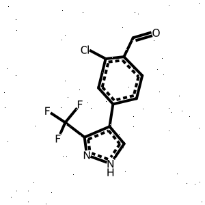 O=Cc1ccc(-c2c[nH]nc2C(F)(F)F)cc1Cl